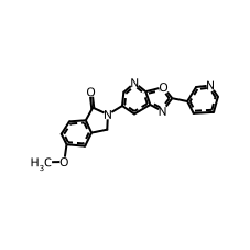 COc1ccc2c(c1)CN(c1cnc3oc(-c4cccnc4)nc3c1)C2=O